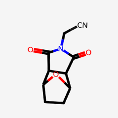 N#CCN1C(=O)C2C3CCC(O3)C2C1=O